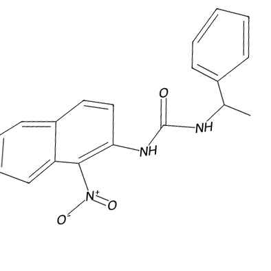 CC(NC(=O)Nc1ccc2ccccc2c1[N+](=O)[O-])c1ccccc1